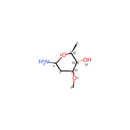 CO[C@H]1CC(N)O[C@@H](C)[C@@H]1O